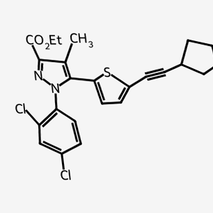 CCOC(=O)c1nn(-c2ccc(Cl)cc2Cl)c(-c2ccc(C#CC3CCCC3)s2)c1C